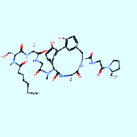 CCCCCCCCCCCCCCCC(=O)N(C)[C@H](CO)C(=O)N[C@H](C)C(=O)NCC(=O)N(C)[C@@H]1C(=O)N[C@@H](C)C(=O)N[C@H](C(=O)NCC(=O)N2CCC[C@H]2C(=O)O)Cc2ccc(O)c(c2)-c2cc1ccc2O